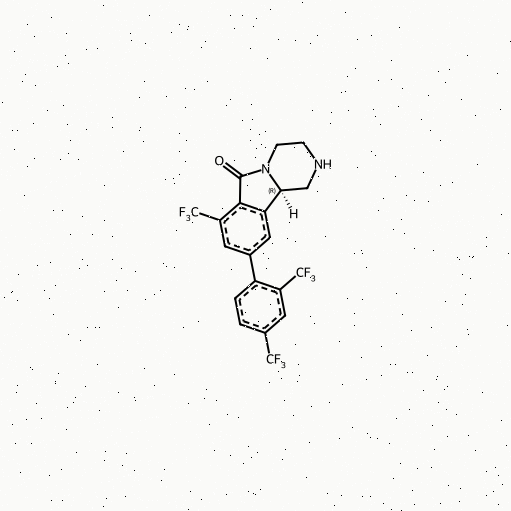 O=C1c2c(cc(-c3ccc(C(F)(F)F)cc3C(F)(F)F)cc2C(F)(F)F)[C@@H]2CNCCN12